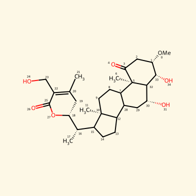 CO[C@H]1CC(=O)[C@]2(C)C3CC[C@@]4(C)C(CCC4[C@H](C)[C@H]4CC(C)=C(CO)C(=O)O4)C3C[C@@H](O)C2[C@H]1O